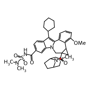 COc1cccc2c1C1CC1(C(=O)N1C3CCC1CN(C)C3)Cn1c-2c(C2CCCCC2)c2ccc(C(=O)NS(=O)(=O)N(C)C)cc21